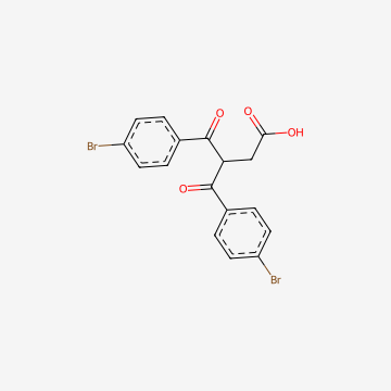 O=C(O)CC(C(=O)c1ccc(Br)cc1)C(=O)c1ccc(Br)cc1